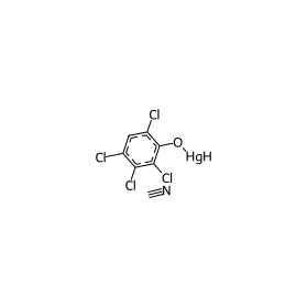 C#N.Clc1cc(Cl)c([O][HgH])c(Cl)c1Cl